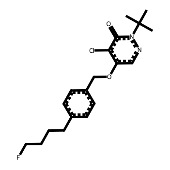 CC(C)(C)n1ncc(OCc2ccc(CCCCF)cc2)c(Cl)c1=O